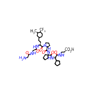 CC1CC(CC[C@H](NC(=O)CNC(=O)CN)C(=O)N2CCC[C@H]2C(=O)NC2(C(=O)N[C@H](C(=O)NCCC(=O)O)C3CCCC3)CCCC2)CCC1C(F)(F)F